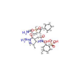 CC(C)C[C@@H](C(=O)NN)[C@@H](C(=O)NO)C(/C=C/c1ccccc1)(CCN)S(C)(=O)=O.Cc1ccc(S(=O)(=O)O)cc1